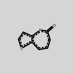 O=c1cccc2sccc2n1